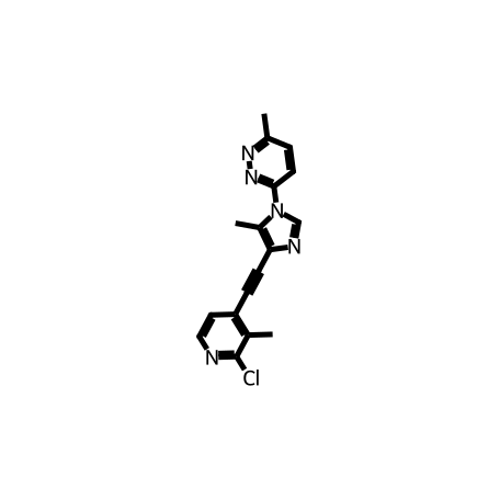 Cc1ccc(-n2cnc(C#Cc3ccnc(Cl)c3C)c2C)nn1